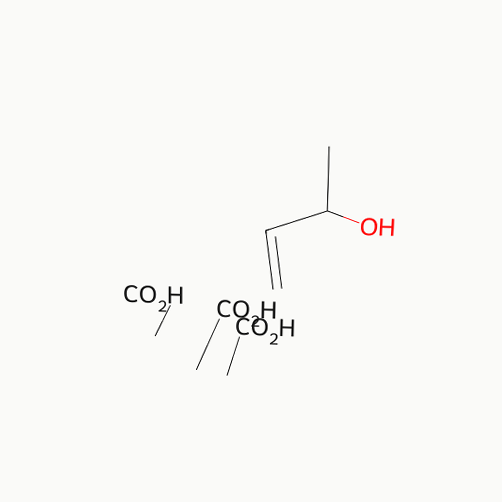 C=CC(C)O.CC(=O)O.CC(=O)O.CC(=O)O